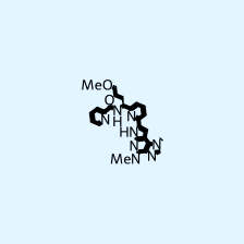 CNc1nc2[nH]c(-c3cccc([C@H](CCCOC)NC(=O)c4ccccn4)n3)cc2c2c1ncn2C